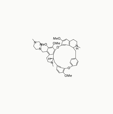 COc1ccc2cc1Oc1ccc(cc1)C[C@H]1c3cc(c(OC)cc3CCN1C)Oc1c(OC)c(OC)c(CN3CCN(C)CC3)c3c1[C@H](C2)N(C)CC3